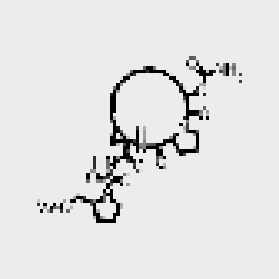 COCC1CCCN1S(=O)(=O)NC(=O)C12CC1/C=C\CCCCCC(OC(N)=O)C(=O)N1CCCC1C(=O)N2